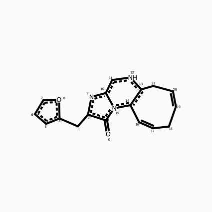 O=c1c(Cc2ccco2)nc2c[nH]c3c(n1-2)C=CCC=CC3